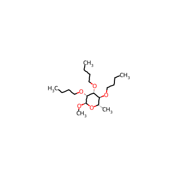 CCCCO[C@@H]1[C@@H](OCCCC)[C@H](C)O[C@@H](OC)[C@@H]1OCCCC